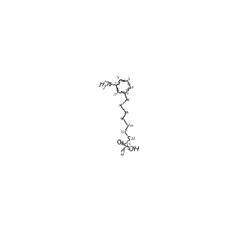 Nc1cccc(CCCCCCSS(=O)(=O)O)c1